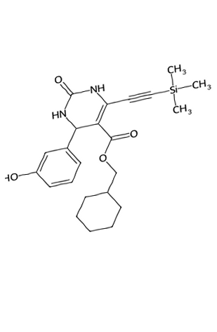 C[Si](C)(C)C#CC1=C(C(=O)OCC2CCCCC2)C(c2cccc(O)c2)NC(=O)N1